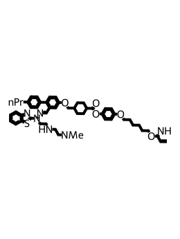 C=CC(=N)OCCCCCCOc1ccc(OC(=O)C2CCC(COc3ccc(-c4ccc(CCC)cc4)c(/C=N/N(CCNCCNC)c4nc5ccccc5s4)c3)CC2)cc1